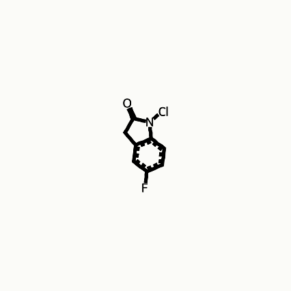 O=C1Cc2cc(F)ccc2N1Cl